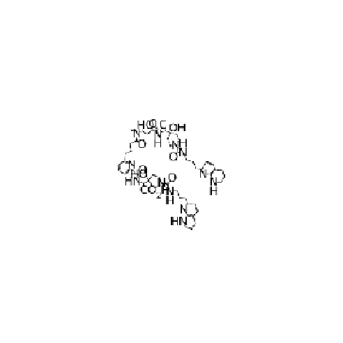 CN(CCC(=O)NC(C(=O)O)C1(O)CCN(C(=O)NCCCc2ccc3c(n2)NCCC3)CC1)C(=O)CCCc1cccc(C(=O)NC(C(=O)O)C2(O)CCN(C(=O)NCCCc3ccc4c(n3)NCCC4)CC2)n1